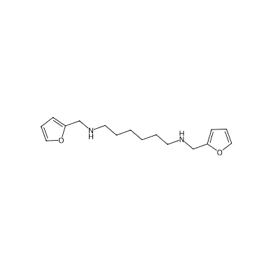 c1coc(CNCCCCCCNCc2ccco2)c1